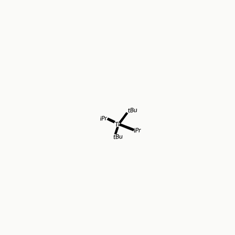 C[CH](C)[Ti]([CH](C)C)([C](C)(C)C)[C](C)(C)C